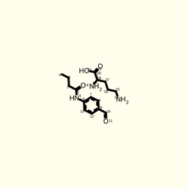 CCCC(=O)Nc1ccc(C=O)cc1.NCCCC(N)C(=O)O